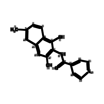 Cc1ccc2c(O)c(NC(=O)c3ccncc3)c(O)nc2c1